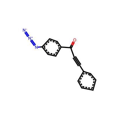 [N-]=[N+]=Nc1ccc(C(=O)C#Cc2ccccc2)cc1